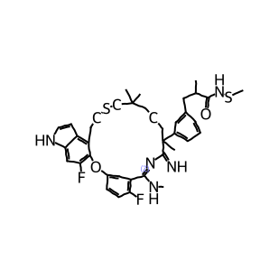 CN/C1=N\C(=N)C(C)(c2cccc(CC(C)C(=O)NSC)c2)CCCC(C)(C)CSCCc2c(c(F)cc3[nH]ccc23)Oc2ccc(F)c1c2